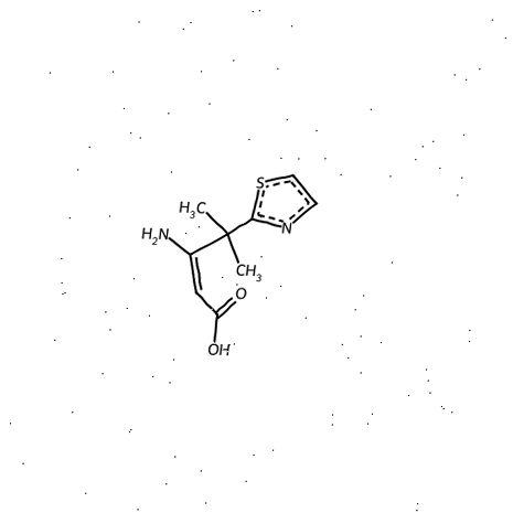 CC(C)(/C(N)=C\C(=O)O)c1nccs1